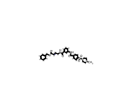 CN1CCN(S(=O)(=O)c2ccc(C(=O)Nc3cccc(C(=O)NC/C=C/C(=O)OCc4ccccc4)c3)cc2)CC1